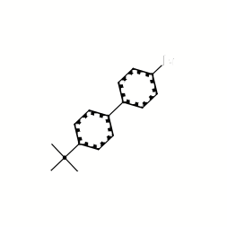 CC(C)(C)c1ccc(-c2ccc(Br)cc2)cc1